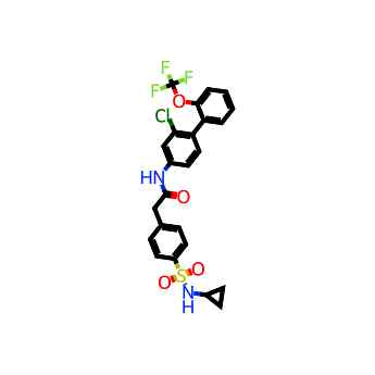 O=C(Cc1ccc(S(=O)(=O)NC2CC2)cc1)Nc1ccc(-c2ccccc2OC(F)(F)F)c(Cl)c1